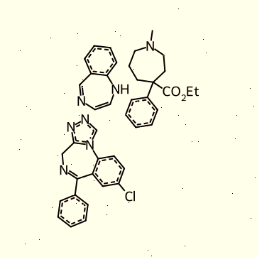 C1=CNc2ccccc2C=N1.CCOC(=O)C1(c2ccccc2)CCCN(C)CC1.Clc1ccc2c(c1)C(c1ccccc1)=NCc1nncn1-2